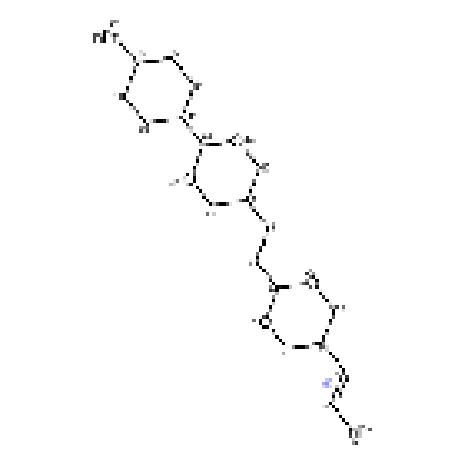 CCC/C=C/C1COC(CCC2COC(C3CCC(CCC)CC3)OC2)OC1